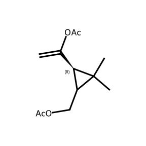 C=C(OC(C)=O)[C@@H]1C(COC(C)=O)C1(C)C